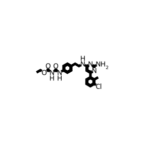 CCOC(=O)NC(=O)Nc1ccc(CCNc2cc(-c3cccc(Cl)c3C)nc(N)n2)cc1